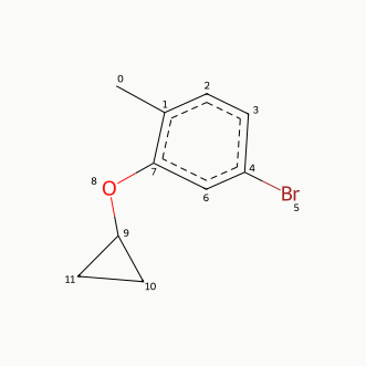 Cc1ccc(Br)cc1OC1CC1